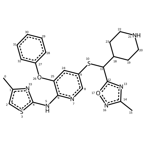 Cc1csc(Nc2ncc(SC(c3nc(C)no3)C3CCNCC3)cc2Oc2ccccc2)n1